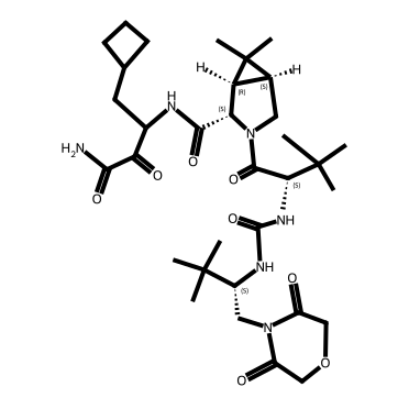 CC(C)(C)[C@H](NC(=O)N[C@H](CN1C(=O)COCC1=O)C(C)(C)C)C(=O)N1C[C@H]2[C@@H]([C@H]1C(=O)NC(CC1CCC1)C(=O)C(N)=O)C2(C)C